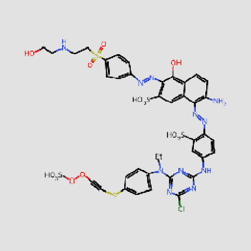 CCN(c1ccc(SC#COOS(=O)(=O)O)cc1)c1nc(Cl)nc(Nc2ccc(N=Nc3c(N)ccc4c(O)c(N=Nc5ccc(S(=O)(=O)CCNCCO)cc5)c(S(=O)(=O)O)cc34)c(S(=O)(=O)O)c2)n1